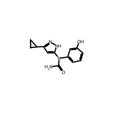 NC(=O)N(c1cccc(O)c1)c1cc(C2CC2)n[nH]1